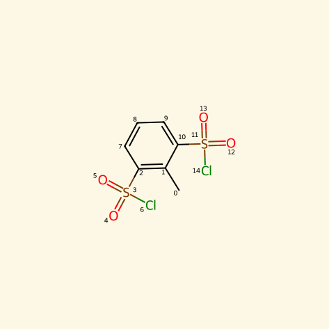 Cc1c(S(=O)(=O)Cl)cccc1S(=O)(=O)Cl